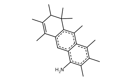 CC1=C(C)C(C)C(C)(C)c2c1cc1c(N)c(C)c(C)c(C)c1c2C